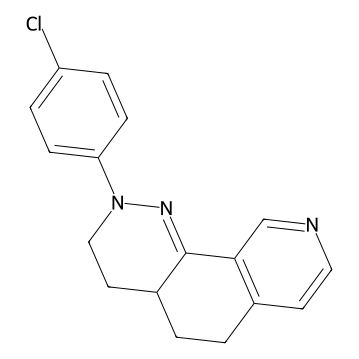 Clc1ccc(N2CCC3CCc4ccncc4C3=N2)cc1